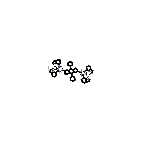 C=N/C(=N\C(=N/Cc1cccc2ccsc12)c1ccc2c(-c3ccccc3)c3cc(-c4nc(-c5cccc6ccsc56)nc(-c5cccc6ccsc56)n4)ccc3c(-c3ccccc3)c2c1)c1cccc2ccsc12